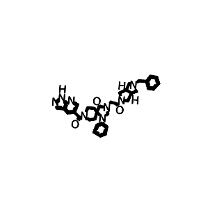 O=C(CN1CN(c2ccccc2)C2(CCN(C(=O)c3cnc4[nH]ncc4c3)CC2)C1=O)N1C[C@H]2CN(Cc3ccccc3)C[C@H]2C1